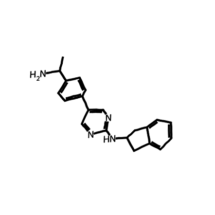 CC(N)c1ccc(-c2cnc(NC3Cc4ccccc4C3)nc2)cc1